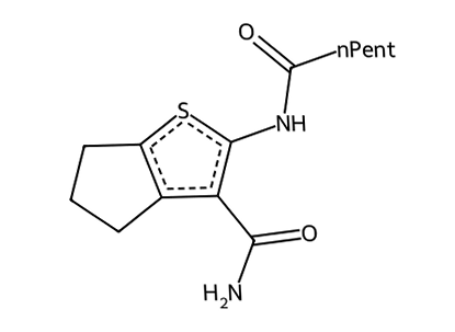 CCCCCC(=O)Nc1sc2c(c1C(N)=O)CCC2